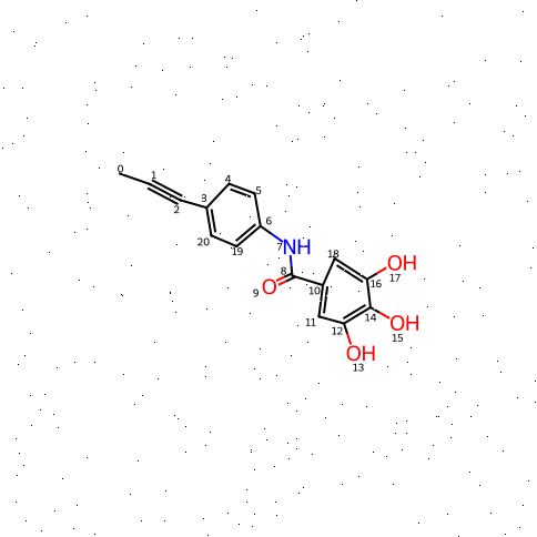 CC#Cc1ccc(NC(=O)c2cc(O)c(O)c(O)c2)cc1